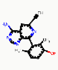 C#Cc1cc2c(N)ncnc2c(-c2c(C)ccc(O)c2C)n1